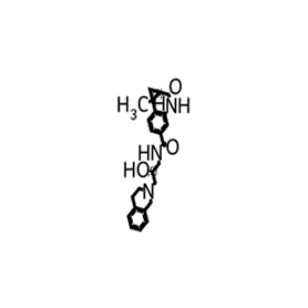 CC12C[C@@H]1C(=O)Nc1cc(C(=O)NC[C@H](O)CN3CCc4ccccc4C3)ccc12